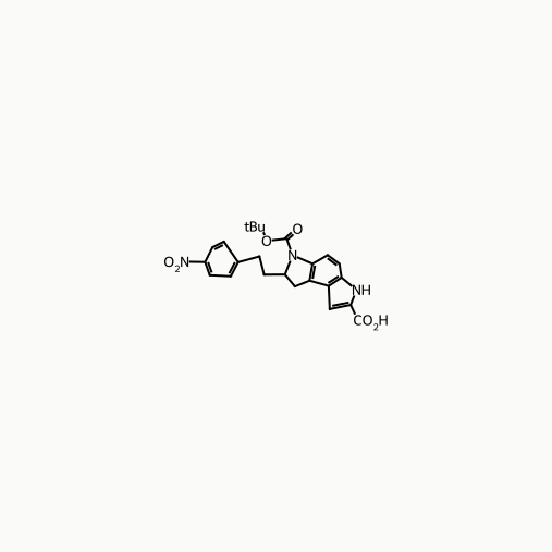 CC(C)(C)OC(=O)N1c2ccc3[nH]c(C(=O)O)cc3c2CC1CCc1ccc([N+](=O)[O-])cc1